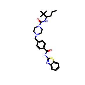 CCCC(NC(=O)N1CCN(Cc2ccc(C(=O)Nc3nc4ccccc4s3)cc2)CC1)C(C)(C)C